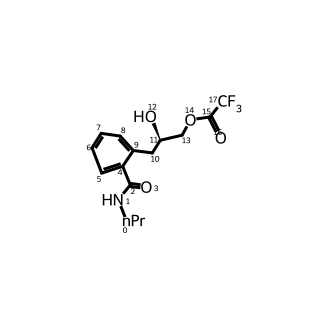 CCCNC(=O)c1ccccc1C[C@@H](O)COC(=O)C(F)(F)F